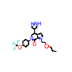 CCCOCCn1ccc2c(-c3cn[nH]c3)cn(-c3ccc(OC(F)(F)F)cc3)c(=O)c21